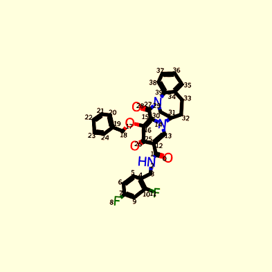 O=C(NCc1ccc(F)cc1F)c1cn2c(c(OCc3ccccc3)c1=O)C(=O)N1CC2CCc2ccccc21